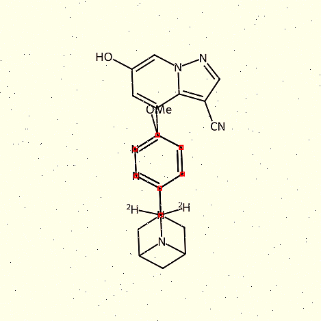 [2H]C([2H])(c1ccc(OC)nc1)N1C2CC1CN(c1ccc(-c3cc(O)cn4ncc(C#N)c34)cn1)C2